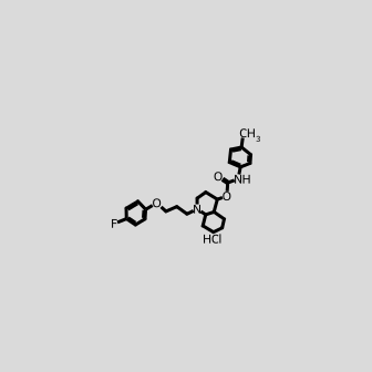 Cc1ccc(NC(=O)OC2CCN(CCCOc3ccc(F)cc3)C3CCCCC23)cc1.Cl